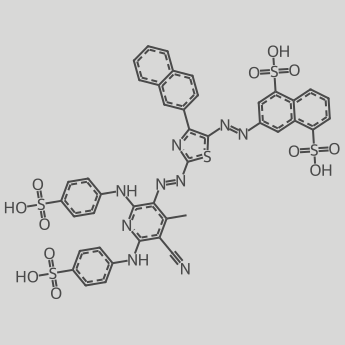 Cc1c(C#N)c(Nc2ccc(S(=O)(=O)O)cc2)nc(Nc2ccc(S(=O)(=O)O)cc2)c1N=Nc1nc(-c2ccc3ccccc3c2)c(/N=N/c2cc(S(=O)(=O)O)c3cccc(S(=O)(=O)O)c3c2)s1